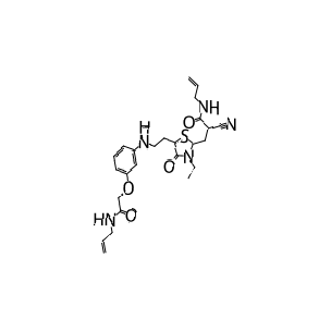 C=CCNC(=O)COc1cccc(NCCC2SC(CC(C#N)C(=O)NCC=C)N(CC)C2=O)c1